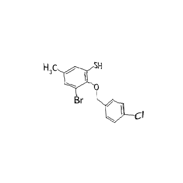 Cc1cc(S)c(OCc2ccc(Cl)cc2)c(Br)c1